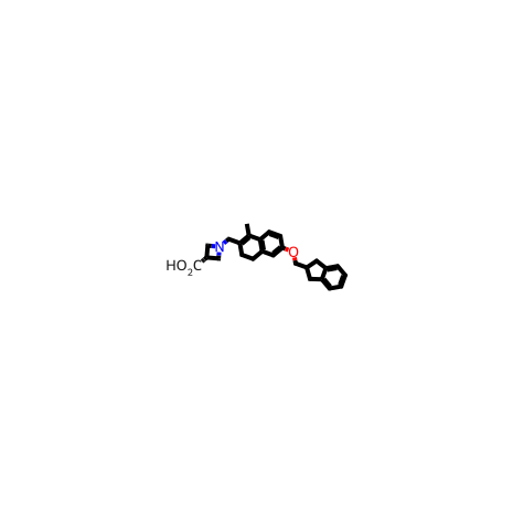 CC1=C(CN2CC(C(=O)O)C2)CCc2cc(OCC3Cc4ccccc4C3)ccc21